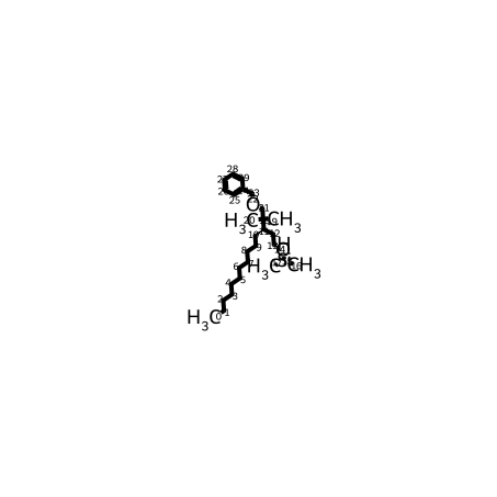 CCCCCCCCCCC[C@H](CCO[SiH](C)C)C(C)(C)COCc1ccccc1